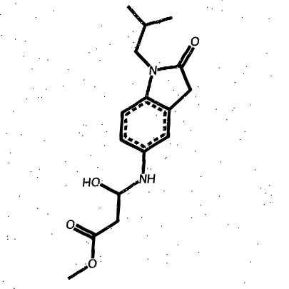 COC(=O)CC(O)Nc1ccc2c(c1)CC(=O)N2CC(C)C